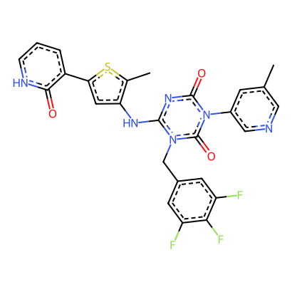 Cc1cncc(-n2c(=O)nc(Nc3cc(-c4ccc[nH]c4=O)sc3C)n(Cc3cc(F)c(F)c(F)c3)c2=O)c1